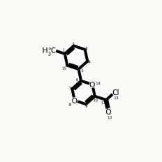 CC1=CCCC(C2=COC=C(C(=O)Cl)O2)=C1